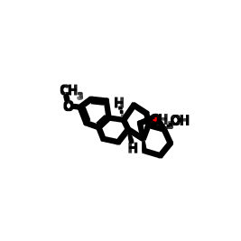 COc1ccc2c(c1)CC[C@@H]1[C@@H]2CC[C@]2(C)[C@]3(O)CCC[C@]12CC3